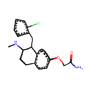 CNC1CCc2ccc(OCC(N)=O)cc2C1Cc1ccccc1Cl